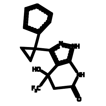 O=C1CC(O)(C(F)(F)F)c2c(C3(c4ccccc4)CC3)n[nH]c2N1